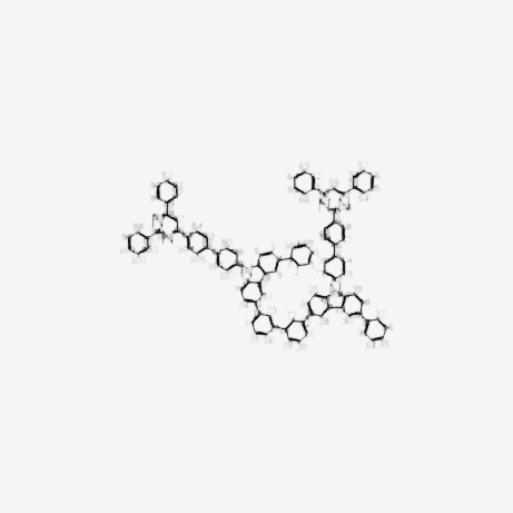 c1ccc(-c2ccc3c(c2)c2cc(-c4cccc(-c5cccc(-c6ccc7c(c6)c6cc(-c8ccccc8)ccc6n7-c6ccc(-c7ccc(-c8nc(-c9ccccc9)cc(-c9ccccc9)n8)cc7)cc6)c5)c4)ccc2n3-c2ccc(-c3ccc(-c4cc(-c5ccccc5)nc(-c5ccccc5)n4)cc3)cc2)cc1